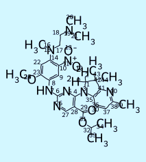 [2H]C1([2H])N(c2nc(Nc3cc([N+](=O)[O-])c(N(C)CCN(C)C)cc3OC)ncc2C(=O)OC(C)C)c2ccc(C)nc2C1(C)C